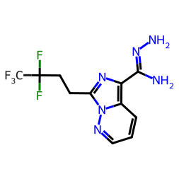 N/N=C(\N)c1nc(CCC(F)(F)C(F)(F)F)n2ncccc12